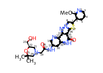 COc1ncccc1-c1cn2nc3c4ncc(NC(=O)CN5C[C@H](CO)OC(C)(C)C5)cc4[nH]c(=O)c3c2s1